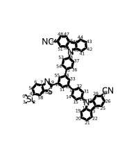 C[Si](C)(C)c1ccc2nc(-c3cc(-c4ccc(-n5c6ccccc6c6ccc(C#N)cc65)cc4)cc(-c4ccc(-n5c6ccccc6c6ccc(C#N)cc65)cc4)c3)sc2c1